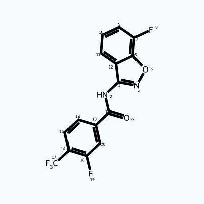 O=C(Nc1noc2c(F)cccc12)c1ccc(C(F)(F)F)c(F)c1